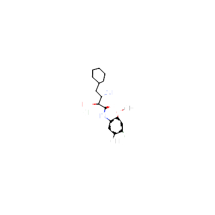 COc1cc(Cl)c(C)cc1NC(=O)C(O)[C@H](N)CC1CCCCC1.Cl